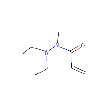 C=CC(=O)N(C)N(CC)CC